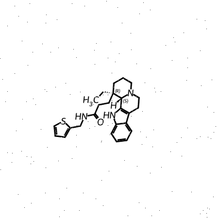 CC[C@]1(CCC(=O)NCc2cccs2)CCCN2CCc3c([nH]c4ccccc34)[C@@H]21